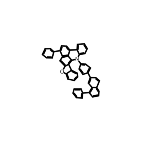 c1ccc(-c2ccc(-c3ccccc3N(c3ccc(-c4ccc5cccc(-c6ccccc6)c5c4)cc3)c3cccc4oc5ccccc5c34)cc2)cc1